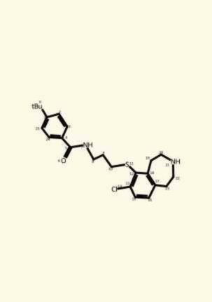 CC(C)(C)c1ccc(C(=O)NCCCSc2c(Cl)ccc3c2CCNCC3)cc1